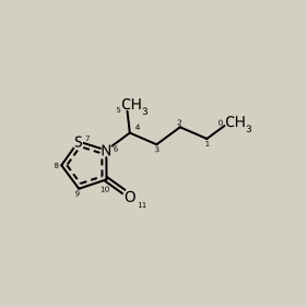 CCCCC(C)n1sccc1=O